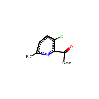 COC(=O)c1nc(C(F)(F)F)ccc1Cl